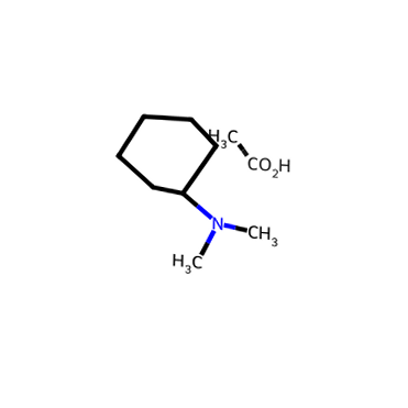 CC(=O)O.CN(C)C1CCCCC1